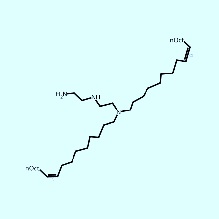 CCCCCCCC/C=C\CCCCCCCCN(CCCCCCCC/C=C\CCCCCCCC)CCNCCN